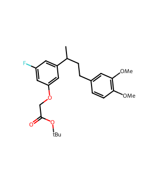 COc1ccc(CCC(C)c2cc(F)cc(OCC(=O)OC(C)(C)C)c2)cc1OC